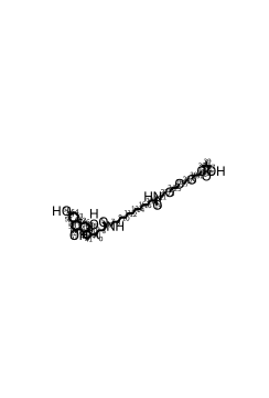 C[C@H](CCC(=O)NCCCCCCCCCCCC(=O)NCCOCCOCCOCCOP(=O)(O)C(C)(C)C)C1CCC2C3C(C[C@H](O)[C@@]21C)[C@@]1(C)CC[C@@H](O)CC1C[C@H]3O